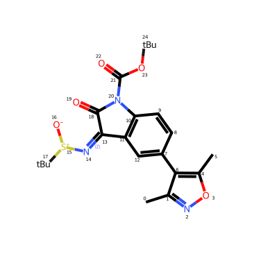 Cc1noc(C)c1-c1ccc2c(c1)/C(=N/[S+]([O-])C(C)(C)C)C(=O)N2C(=O)OC(C)(C)C